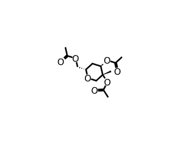 CC(=O)OC[C@@H]1C[C@H](OC(C)=O)[C@](C)(OC(C)=O)CO1